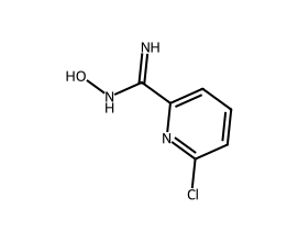 N=C(NO)c1cccc(Cl)n1